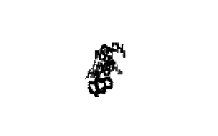 C[C@H]1CCn2ncc([SH](C)(=O)NC(=O)Nc3c4c(cc5c3CCC5)CCC4)c2O1